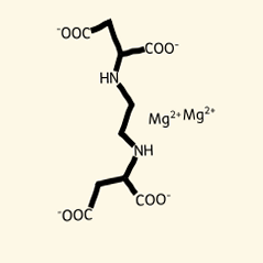 O=C([O-])CC(NCCNC(CC(=O)[O-])C(=O)[O-])C(=O)[O-].[Mg+2].[Mg+2]